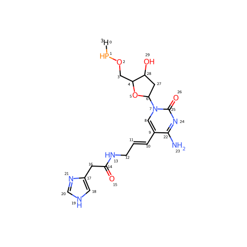 [3H]POCC1OC(n2cc(/C=C/CNC(=O)Cc3c[nH]cn3)c(N)nc2=O)CC1O